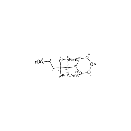 CCCCCCCCCCCCC(CCC)(CCC)C(CCCCC)(CCCCC)C1COOOO1